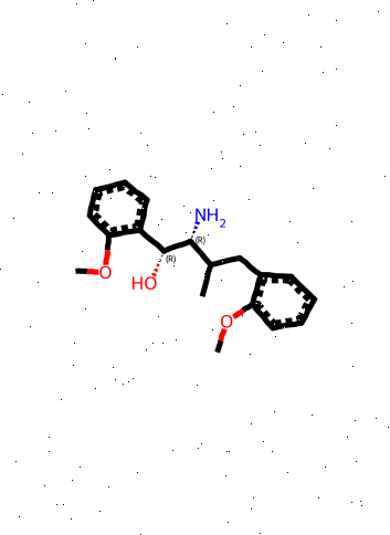 COc1ccccc1CC(C)[C@@H](N)[C@H](O)c1ccccc1OC